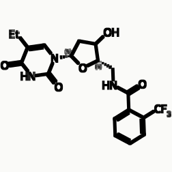 CCc1cn([C@@H]2CC(O)[C@H](CNC(=O)c3ccccc3C(F)(F)F)O2)c(=O)[nH]c1=O